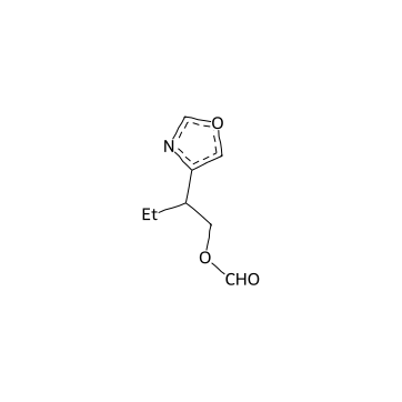 CCC(COC=O)c1cocn1